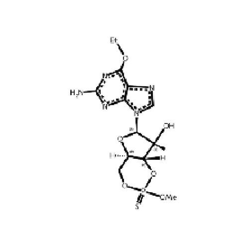 CCOc1nc(N)nc2c1ncn2[C@@H]1O[C@@H]2COP(=S)(OC)O[C@H]2[C@@]1(C)O